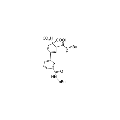 CCCCNC(=O)c1cccc(C2=CC(C(=O)NCCCC)C(C(=O)O)(C(=O)O)C=C2)c1